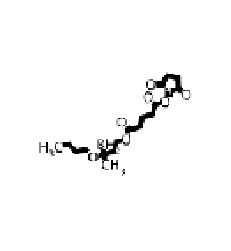 BC(C)(CCOC(=O)CCCC(=O)ON1C(=O)CCC1=O)OCCCC